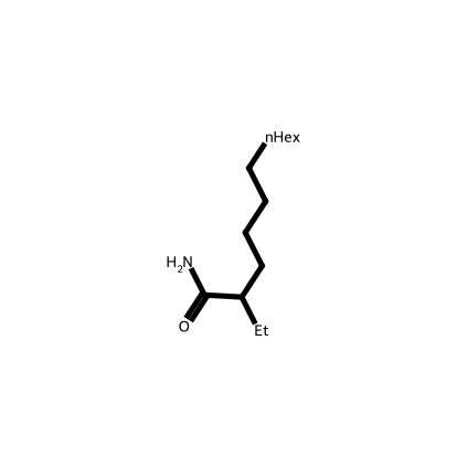 [CH2]CC(CCCCCCCCCC)C(N)=O